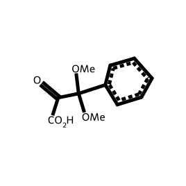 COC(OC)(C(=O)C(=O)O)c1ccccc1